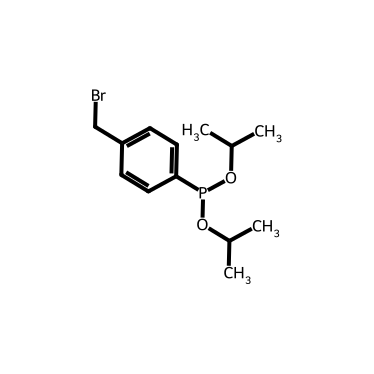 CC(C)OP(OC(C)C)c1ccc(CBr)cc1